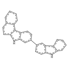 c1ccc2c(c1)ccc1[nH]c3cc(-c4ccc5[nH]c6ccccc6c5c4)ccc3c12